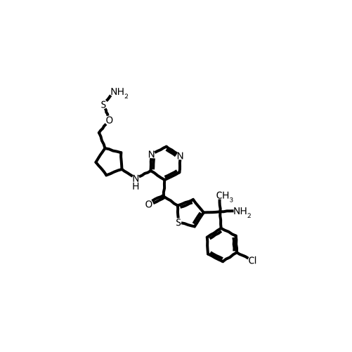 CC(N)(c1cccc(Cl)c1)c1csc(C(=O)c2cncnc2NC2CCC(COSN)C2)c1